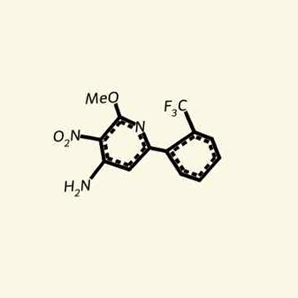 COc1nc(-c2ccccc2C(F)(F)F)cc(N)c1[N+](=O)[O-]